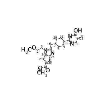 COCCn1c(CC2CC=C(c3ncc(F)c(O)n3)CC2)nc2sc(C(=O)OC)cc21